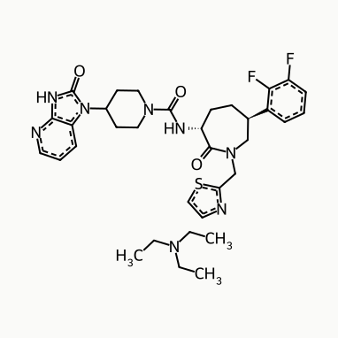 CCN(CC)CC.O=C(N[C@@H]1CC[C@@H](c2cccc(F)c2F)CN(Cc2nccs2)C1=O)N1CCC(n2c(=O)[nH]c3ncccc32)CC1